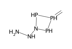 C=[PH]1PN(NN)P1